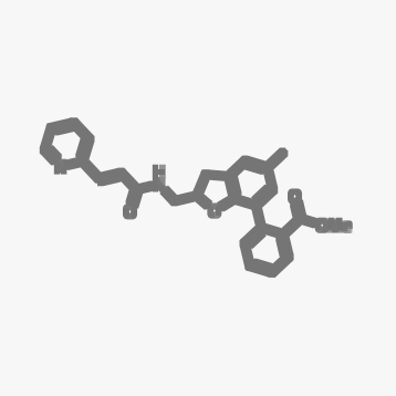 COC(=O)c1ccccc1-c1cc(C)cc2c1OC(CNC(=O)C=Cc1ccccn1)C2